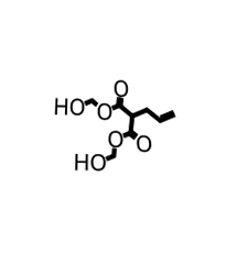 C=CCC(C(=O)OCO)C(=O)OCO